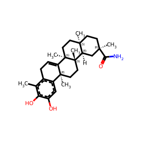 Cc1c(O)c(O)cc2c1CC=C1[C@@]2(C)CC[C@@]2(C)[C@@H]3C[C@](C)(C(N)=O)CC[C@]3(C)CC[C@]12C